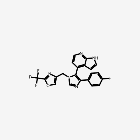 Fc1ccc(-c2ncn(Cc3coc(C(F)(F)F)n3)c2-c2ccnc3[nH]ccc23)cc1